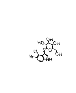 OC[C@H]1OC(Sc2c[nH]c3ccc(Br)c(Cl)c23)[C@H](O)[C@@H](O)[C@H]1O